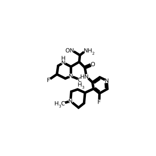 CN1CCC(c2c(F)cncc2NC(=O)C(C(N)N=O)C2NCC(F)CN2C)CC1